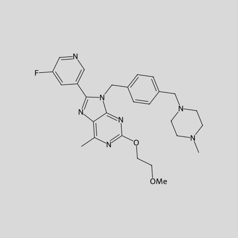 COCCOc1nc(C)c2nc(-c3cncc(F)c3)n(Cc3ccc(CN4CCN(C)CC4)cc3)c2n1